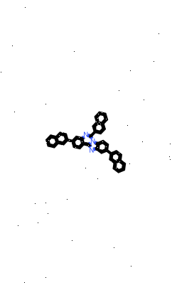 c1ccc2cc(-c3ccc4c(c3)nc(-c3ccc5ccccc5c3)n3c5ccc(-c6ccc7ccccc7c6)cc5nc43)ccc2c1